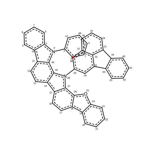 c1ccc(-n2c3ccccc3c3ccc4c5ccc6c7ccccc7oc6c5n(-c5cc6c7c(cccc7c5)-c5ccccc5-6)c4c32)cc1